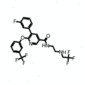 O=C(NCCNCC(F)(F)F)c1cnc(Oc2cccc(C(F)(F)F)c2)c(-c2cccc(F)c2)c1